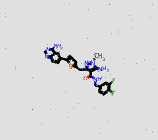 Cn1nc(Cc2ccc(-c3ccc4ncnc(N)c4c3)s2)c(C(=O)NCc2ccc(F)c(F)c2)c1N